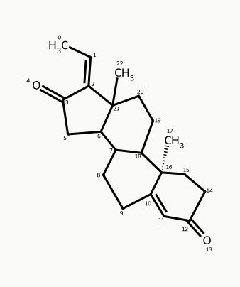 C/C=C1\C(=O)CC2C3CCC4=CC(=O)CC[C@]4(C)C3CCC12C